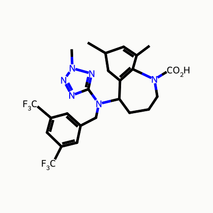 CC1=CC(C)CC2=C1N(C(=O)O)CCCC2N(Cc1cc(C(F)(F)F)cc(C(F)(F)F)c1)c1nnn(C)n1